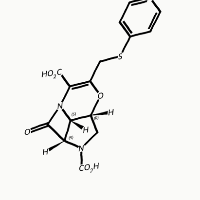 O=C(O)C1=C(CSc2ccncc2)O[C@@H]2CN(C(=O)O)[C@@H]3C(=O)N1[C@@H]32